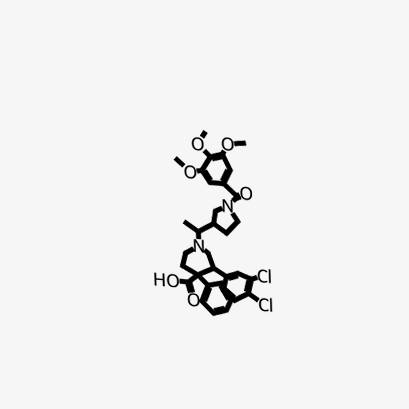 COc1cc(C(=O)N2CCC(C(C)N3CCC(C(=O)O)(c4ccccc4)C(c4ccc(Cl)c(Cl)c4)C3)C2)cc(OC)c1OC